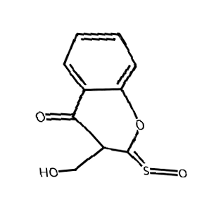 O=S=C1Oc2ccccc2C(=O)C1CO